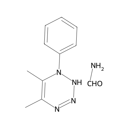 CC1=C(C)N(c2ccccc2)NN=N1.NC=O